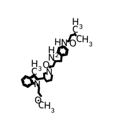 COCCCn1c(C2CCCN(C(=O)C[C@H](N)Cc3ccc(NC(=O)CC(C)C)cc3)C2)c(C)c2ccccc21